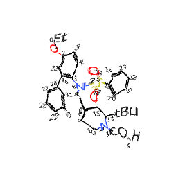 CCOc1ccc(N(CC2CCN(C(=O)O)C(C(C)(C)C)C2)S(=O)(=O)c2ccccc2)c(-c2ccccc2)c1